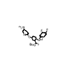 COC(=O)c1cc(Oc2ccc(N)cn2)ccc1Nc1ccc(F)c(F)c1